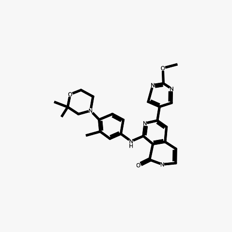 COc1ncc(-c2cc3c(c(Nc4ccc(N5CCOC(C)(C)C5)c(C)c4)n2)C(=O)[N]C=C3)cn1